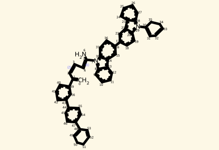 C=C(/C=C\C=C(/N)n1c2ccccc2c2cc(-c3ccc4c(c3)c3ccccc3n4C3=CC=CCC3)ccc21)c1cccc(-c2ccc(C3=CCCC=C3)cc2)c1